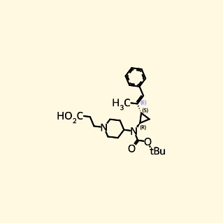 C/C(=C\c1ccccc1)[C@@H]1C[C@H]1N(C(=O)OC(C)(C)C)C1CCN(CCC(=O)O)CC1